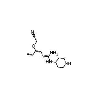 C=C/C(=C\N=C(/N)NC1CCNCC1)OCC#N